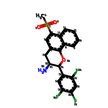 CS(=O)(=O)c1cc2c(c3ccccc13)OC(c1cc(F)c(F)cc1F)[C@@H](N)C2